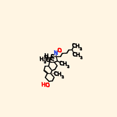 CC(C)CCCCC(C)(N=O)C(C)[C@@]1(C)CCC2C(CC=C3C[C@@H](O)CC[C@@]32C)C1C